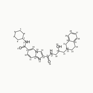 O=C(NC1CCCCC1)c1ccc2nc(C(=O)NCC(O)CN3CCc4ccccc4C3)cn2c1